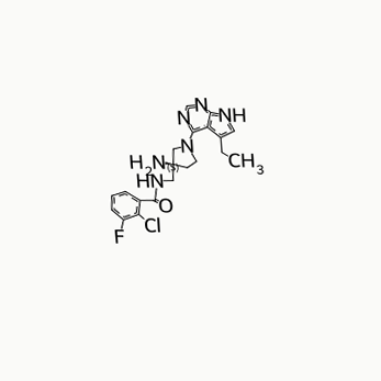 CCc1c[nH]c2ncnc(N3CC[C@](N)(CNC(=O)c4cccc(F)c4Cl)C3)c12